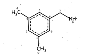 Cc1cc(C)cc(C[NH])c1